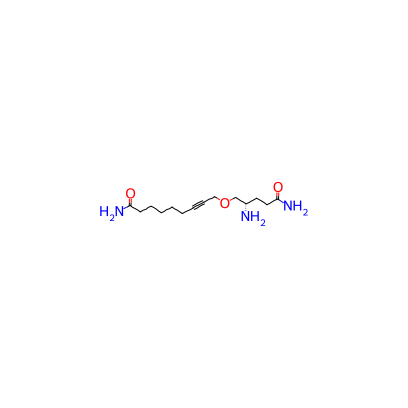 NC(=O)CCCCCC#CCOC[C@@H](N)CCC(N)=O